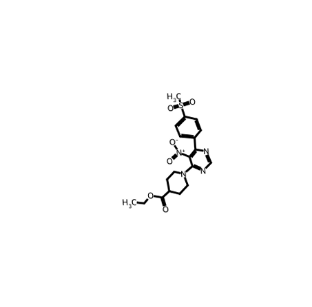 CCOC(=O)C1CCN(c2ncnc(-c3ccc(S(C)(=O)=O)cc3)c2[N+](=O)[O-])CC1